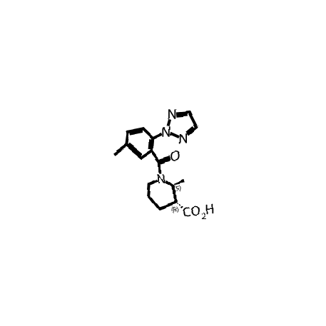 Cc1ccc(-n2nccn2)c(C(=O)N2CCC[C@@H](C(=O)O)[C@@H]2C)c1